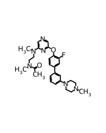 CC(=O)N(C)CCN(C)c1cncc(Oc2ccc(-c3cccc(N4CCN(C)CC4)c3)cc2F)n1